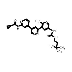 Cc1ncc(NC(=O)NCCC(C)(C)C)cc1-c1cc(-c2ccnc(NC(=O)C3CC3)c2)cnn1